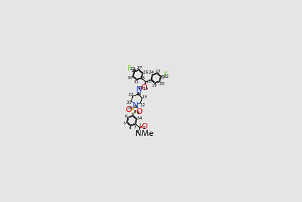 CNC(=O)c1cccc(S(=O)(=O)N2CCC(=NOC(c3ccc(F)cc3)c3ccc(F)cc3)CC2)c1